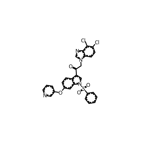 O=C(Cn1cnc2c(Cl)c(Cl)ccc21)c1cn(S(=O)(=O)c2ccccc2)c2cc(Oc3cccnc3)ccc12